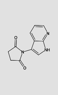 O=C1CCC(=O)N1c1c[nH]c2ncccc12